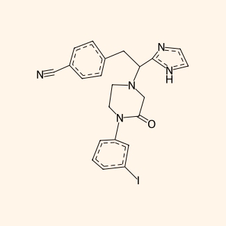 N#Cc1ccc(CC(c2ncc[nH]2)N2CCN(c3cccc(I)c3)C(=O)C2)cc1